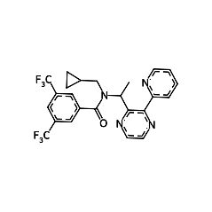 CC(c1nccnc1-c1ccccn1)N(CC1CC1)C(=O)c1cc(C(F)(F)F)cc(C(F)(F)F)c1